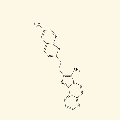 Cc1cnc2nc(CCc3nc4c5cccnc5ccn4c3C)ccc2c1